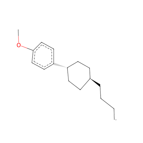 [CH2]CCC[C@H]1CC[C@H](c2ccc(OC)cc2)CC1